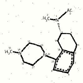 CC(=O)N(C)[C@@H]1CCc2cccc(N3CCN(C)CC3)c2C1